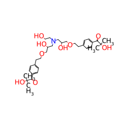 CC(C)(O)C(=O)c1ccc(CCOCC(O)CN(CCO)CC(O)COCCc2ccc(C(=O)C(C)(C)O)cc2)cc1